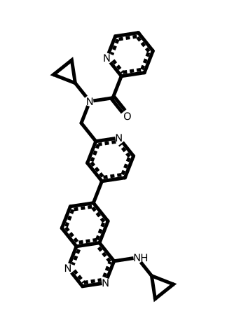 O=C(c1ccccn1)N(Cc1cc(-c2ccc3ncnc(NC4CC4)c3c2)ccn1)C1CC1